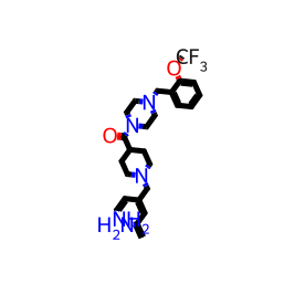 C=C(N)/C=C(\C=C/N)CN1CCC(C(=O)N2CCN(Cc3ccccc3OC(F)(F)F)CC2)CC1